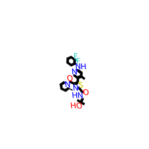 Cc1cc(N[C@@H]2CCCCC2(F)F)ncc1-c1sc(C(=O)NCC(C)(C)O)nc1C(=O)N1CCCC[C@@H]1C